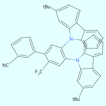 CC(C)(C)c1ccc2c3ccccc3n(-c3cc(-c4cccc(C#N)c4)c(C(F)(F)F)cc3-n3c4ccccc4c4ccc(C(C)(C)C)cc43)c2c1